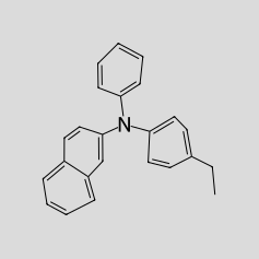 CCc1ccc(N(c2ccccc2)c2ccc3ccccc3c2)cc1